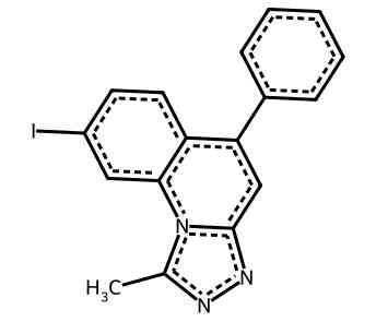 Cc1nnc2cc(-c3ccccc3)c3ccc(I)cc3n12